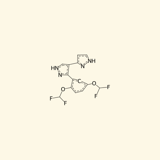 FC(F)Oc1ccc(OC(F)F)c(-c2n[nH]cc2-c2cc[nH]n2)c1